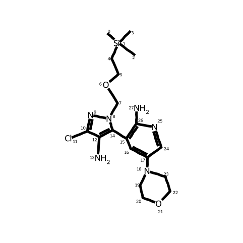 C[Si](C)(C)CCOCn1nc(Cl)c(N)c1-c1cc(N2CCOCC2)cnc1N